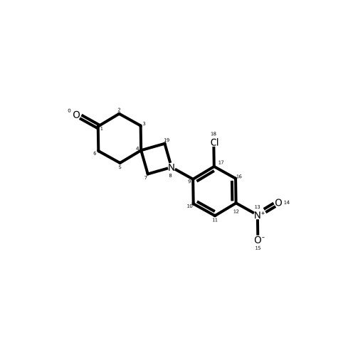 O=C1CCC2(CC1)CN(c1ccc([N+](=O)[O-])cc1Cl)C2